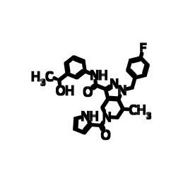 CC1CN(C(=O)c2ccc[nH]2)Cc2c(C(=O)Nc3cccc([C@H](C)O)c3)nn(Cc3ccc(F)cc3)c21